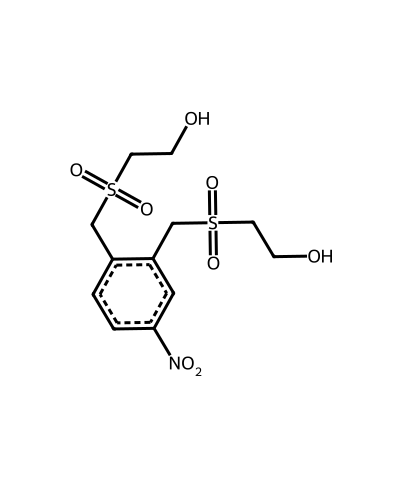 O=[N+]([O-])c1ccc(CS(=O)(=O)CCO)c(CS(=O)(=O)CCO)c1